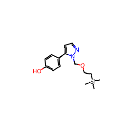 C[Si](C)(C)CCOCn1nccc1-c1ccc(O)cc1